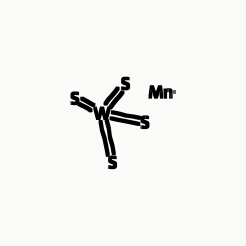 [Mn].[S]=[W](=[S])(=[S])=[S]